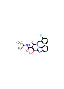 CC(NC(=O)c1c(O)c2nc3ccccc3n2n(Cc2ccccc2F)c1=O)C(=O)O